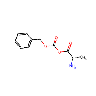 C[C@H](N)C(=O)OC(=O)OCc1ccccc1